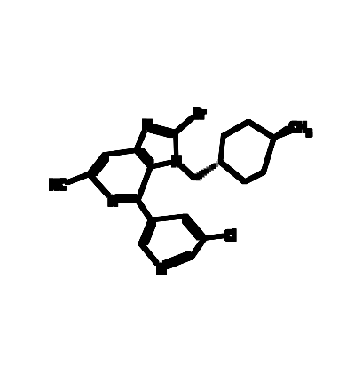 C[C@H]1CC[C@H](Cn2c(Br)nc3cc(C#N)nc(-c4cncc(Cl)c4)c32)CC1